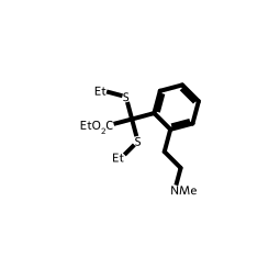 CCOC(=O)C(SCC)(SCC)c1ccccc1CCNC